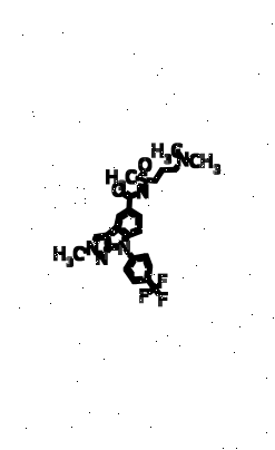 CN(C)CCCS(C)(=O)=NC(=O)c1ccc2c(c1)c1cn(C)nc1n2-c1ccc(C(F)(F)F)cc1